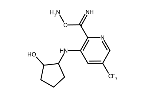 N=C(ON)c1ncc(C(F)(F)F)cc1NC1CCCC1O